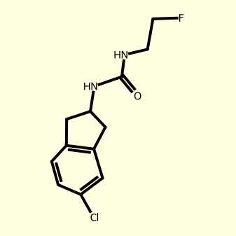 O=C(NCCF)NC1Cc2ccc(Cl)cc2C1